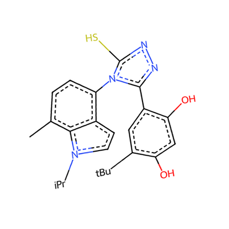 Cc1ccc(-n2c(S)nnc2-c2cc(C(C)(C)C)c(O)cc2O)c2ccn(C(C)C)c12